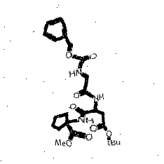 COC(=O)C1(NC(=O)C(CC(=O)OC(C)(C)C)NC(=O)CNC(=O)OCc2ccccc2)CCCC1